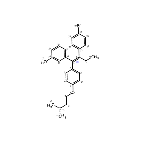 CC/C(=C(\c1ccc(OCCN(C)C)cc1)c1cccc(O)c1)c1ccc(Br)cc1